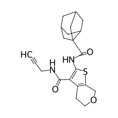 C#CCNC(=O)c1c(NC(=O)C23CC4CC(CC2C4)C3)sc2c1CCOC2